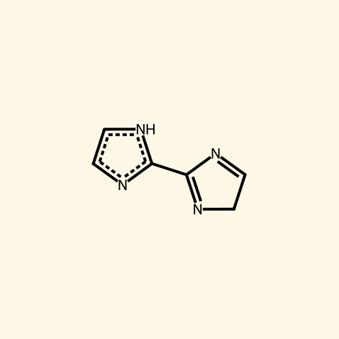 C1=NC(c2ncc[nH]2)=NC1